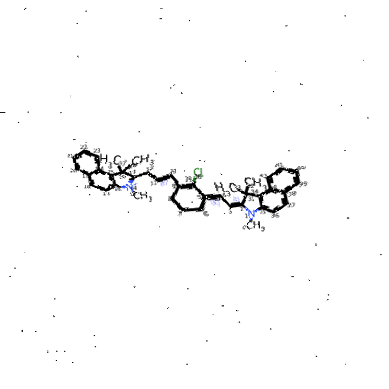 CN1/C(=C/C=C2\CCCC(/C=C/CC3=[N+](C)c4ccc5ccccc5c4C3(C)C)=C2Cl)C(C)(C)c2c1ccc1ccccc21